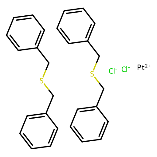 [Cl-].[Cl-].[Pt+2].c1ccc(CSCc2ccccc2)cc1.c1ccc(CSCc2ccccc2)cc1